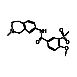 COc1ccc(C(=O)Nc2ccc3c(c2)CN(C)CC3)cc1S(C)(=O)=O